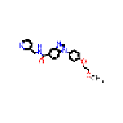 COCCOc1ccc(-n2cnc3cc(C(=O)NCc4cccnc4)ccc32)cc1